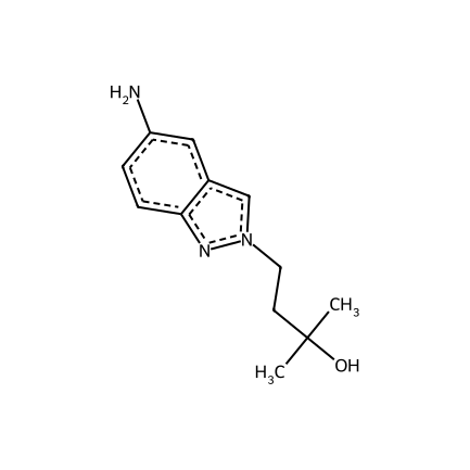 CC(C)(O)CCn1cc2cc(N)ccc2n1